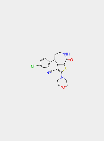 N#Cc1c(N2CCOCC2)sc2c1C(c1ccc(Cl)cc1)CCNC2=O